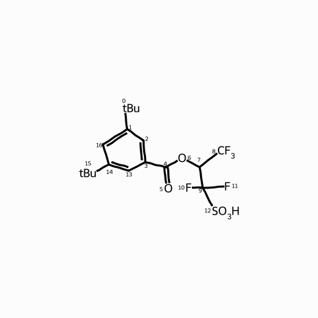 CC(C)(C)c1cc(C(=O)OC(C(F)(F)F)C(F)(F)S(=O)(=O)O)cc(C(C)(C)C)c1